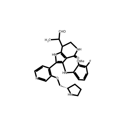 COc1c(F)cccc1Nc1c(-c2ccncc2OC[C@@H]2CCCN2)[nH]c2c1C(=O)NCC2C(C)C=O